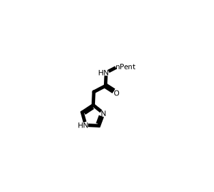 CCCCCNC(=O)Cc1c[nH]cn1